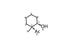 CC(=O)[C@@]1(C)CCCC[C@H]1O